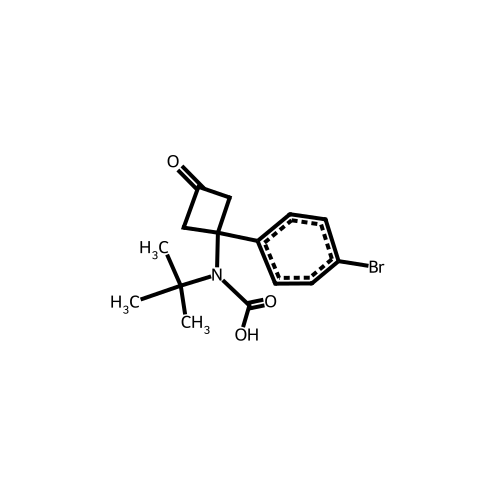 CC(C)(C)N(C(=O)O)C1(c2ccc(Br)cc2)CC(=O)C1